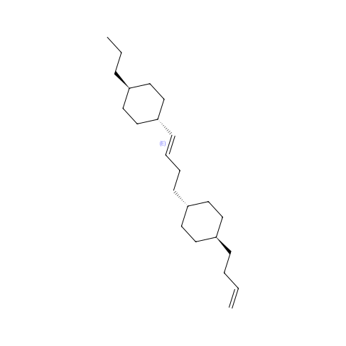 C=CCC[C@H]1CC[C@H](CC/C=C/[C@H]2CC[C@H](CCC)CC2)CC1